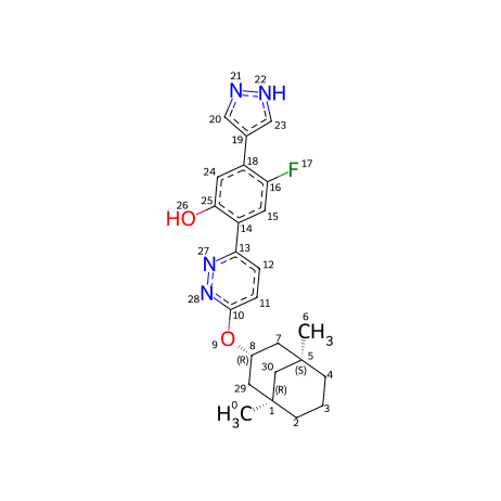 C[C@]12CCC[C@](C)(C[C@@H](Oc3ccc(-c4cc(F)c(-c5cn[nH]c5)cc4O)nn3)C1)C2